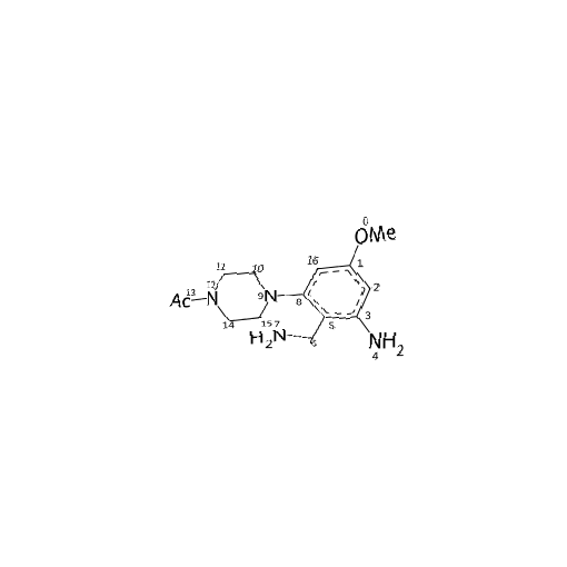 COc1cc(N)c(CN)c(N2CCN(C(C)=O)CC2)c1